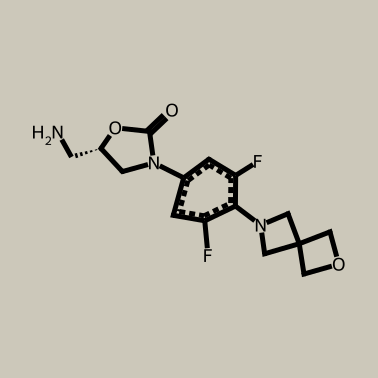 NC[C@H]1CN(c2cc(F)c(N3CC4(COC4)C3)c(F)c2)C(=O)O1